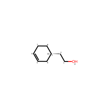 OCC[C@@H]1CC=CCC1